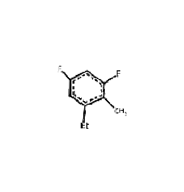 CCc1cc(F)cc(F)c1C